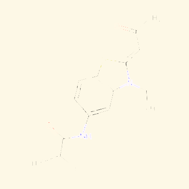 CCN1/C(=C/C(C)=O)Sc2ccc(NC(=O)C(C)C)cc21